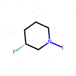 F[C@@H]1CCCN(I)C1